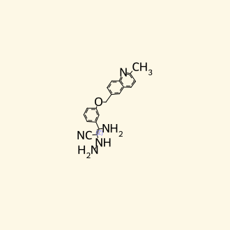 Cc1ccc2cc(COc3cccc(/C(N)=C(\C#N)NN)c3)ccc2n1